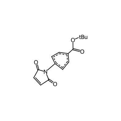 CC(C)(C)OC(=O)c1ccc(N2C(=O)C=CC2=O)cc1